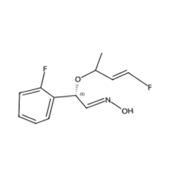 CC(C=CF)O[C@H](C=NO)c1ccccc1F